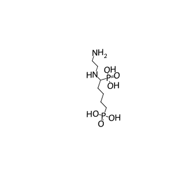 NCCNC(CCCCP(=O)(O)O)P(=O)(O)O